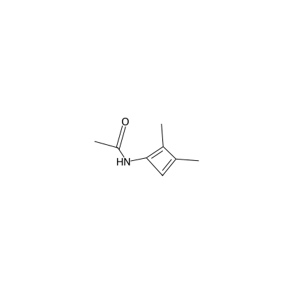 CC(=O)NC1=C(C)C(C)=C1